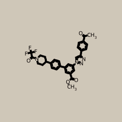 COC(=O)c1cc(-c2ccc(C3CCN(C(=O)C(F)(F)F)CC3)cc2)cc(-n2cc(-c3ccc(C(C)=O)cc3)nn2)c1